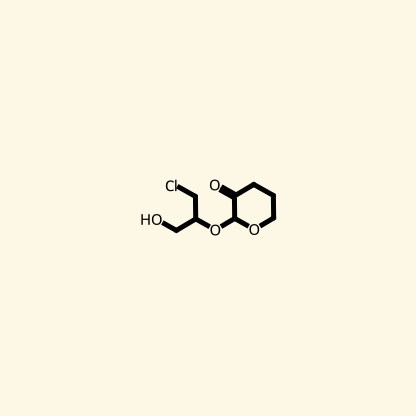 O=C1CCCOC1OC(CO)CCl